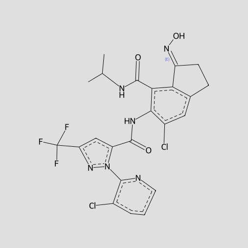 CC(C)NC(=O)c1c(NC(=O)c2cc(C(F)(F)F)nn2-c2ncccc2Cl)c(Cl)cc2c1/C(=N/O)CC2